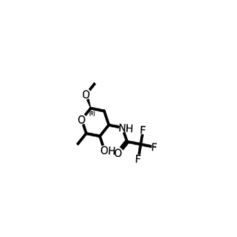 CO[C@H]1CC(NC(=O)C(F)(F)F)C(O)C(C)O1